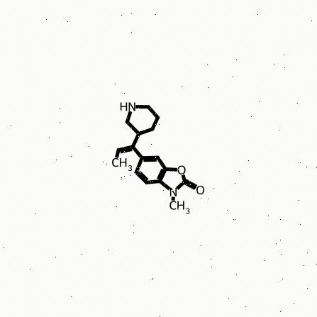 C/C=C(\c1ccc2c(c1)oc(=O)n2C)C1CCCNC1